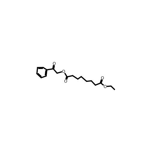 CCOC(=O)CCCCCCC(=O)OCC(=O)c1ccccc1